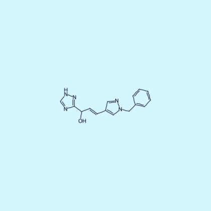 OC(C=Cc1cnn(Cc2ccccc2)c1)c1nc[nH]n1